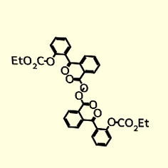 CCOC(=O)Oc1ccccc1C(=O)c1ccccc1C(=O)OOC(=O)c1ccccc1C(=O)c1ccccc1OC(=O)OCC